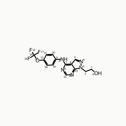 OCCn1ncc2c(Nc3ccc(OC(F)(F)F)cc3)ncnc21